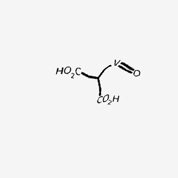 [O]=[V][CH](C(=O)O)C(=O)O